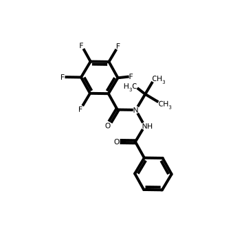 CC(C)(C)N(NC(=O)c1ccccc1)C(=O)c1c(F)c(F)c(F)c(F)c1F